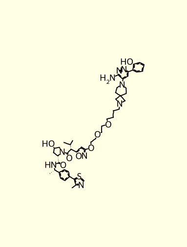 Cc1ncsc1-c1ccc([C@H](C)NC(=O)[C@@H]2C[C@@H](O)CN2C(=O)[C@@H](c2cc(OCCOCCOCCCCN3CC4(CCN(c5cc(-c6ccccc6O)nnc5N)CC4)C3)no2)C(C)C)cc1